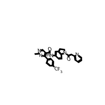 Cc1ncc(C(=O)Nc2ccc3c(c2)CCN3C(=O)Cc2ccccn2)c(-c2ccc(C(F)(F)F)cc2)n1